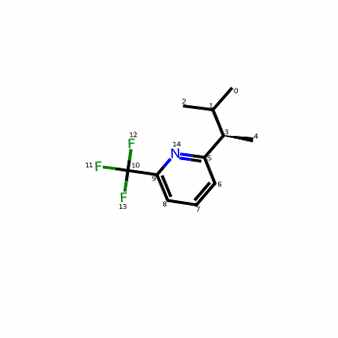 CC(C)[C@@H](C)c1cccc(C(F)(F)F)n1